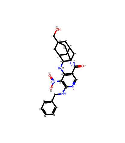 NC(=O)c1cnc(NCc2ccccc2)c([N+](=O)[O-])c1NC1C2CC3CC1CC(CO)(C3)C2